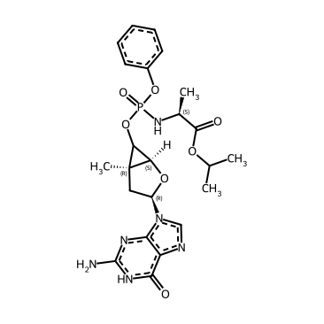 CC(C)OC(=O)[C@H](C)NP(=O)(Oc1ccccc1)OC1[C@H]2O[C@@H](n3cnc4c(=O)[nH]c(N)nc43)C[C@@]12C